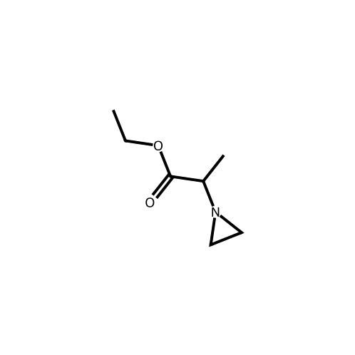 CCOC(=O)C(C)N1CC1